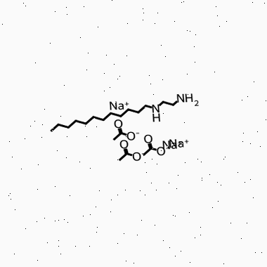 CC(=O)[O-].CC(=O)[O-].CC(=O)[O-].CCCCCCCCCCCCNCCN.[Na+].[Na+].[Na+]